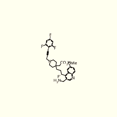 COc1ccc2ncc(CN)c([C@H](F)CCC3(CC(=O)O)CCN(CC#Cc4c(F)cc(F)cc4F)CC3)c2c1